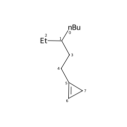 CCCCC(CC)CCC1=CC1